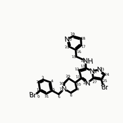 Brc1cccc(CN2CCC(c3cc(NCc4cccnc4)n4ncc(Br)c4n3)CC2)c1